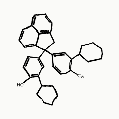 Oc1ccc(C2(c3ccc(O)c(C4CCCCC4)c3)Cc3cccc4cccc2c34)cc1C1CCCCC1